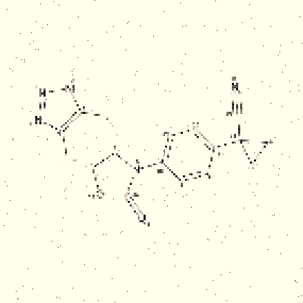 Cc1[nH]nnc1C[C@@H]1CN(c2ccc(C3(C#N)CC3)cc2)C(=O)O1